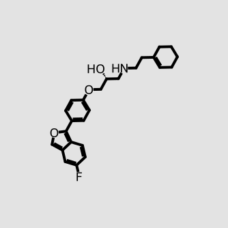 O[C@H](CNCCC1=CCCCC1)COc1ccc(-c2occ3cc(F)ccc23)cc1